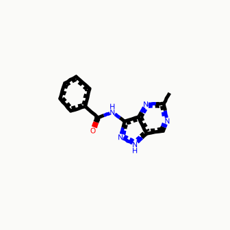 Cc1ncc2[nH]nc(NC(=O)c3ccccc3)c2n1